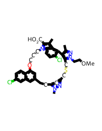 COCCn1nc(C)c2c1CSCc1cc(n(C)n1)CCc1cc(c3ccc(Cl)cc3c1)OCCCn1c(C(=O)O)c(C)c3c-2c(Cl)ccc31